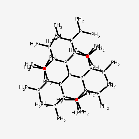 PP(P)P(P(P)P)P(P(P)P)P(P(P(P)P)P(P)P)P(P(P(P(P)P)P(P)P)P(P(P)P)P(P)P)P(P(P(P)P)P(P)P)P(P(P)P)P(P)P